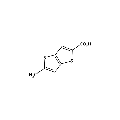 Cc1cc2sc(C(=O)O)cc2s1